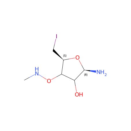 CNOC1C(O)[C@H](N)O[C@@H]1CI